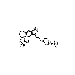 CC(=O)N1CCC(CCCc2noc3cc4c(cc23)N(C(=O)C(F)(F)F)CCCC4)CC1